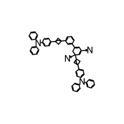 N#CC1=CC(C#N)(C23CC(c4ccc(N(c5ccccc5)c5ccccc5)cc4)(C2)C3)CC(c2cccc(C34CC(c5ccc(N(c6ccccc6)c6ccccc6)cc5)(C3)C4)c2)=C1